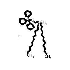 CCCCCCCCCCCC[N+](C)(CCCCCCCCCCCC)CCO[Si](c1ccccc1)(c1ccccc1)c1ccccc1.[I-]